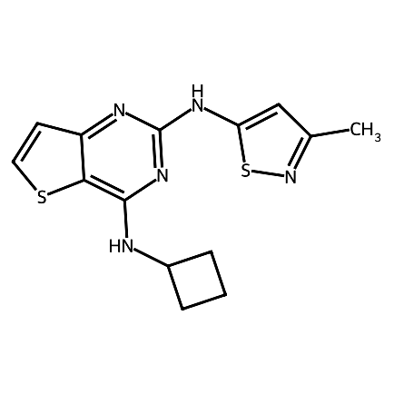 Cc1cc(Nc2nc(NC3CCC3)c3sccc3n2)sn1